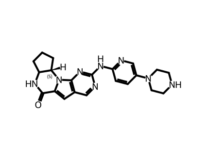 O=C1NC2CCC[C@@H]2n2c1cc1cnc(Nc3ccc(N4CCNCC4)cn3)nc12